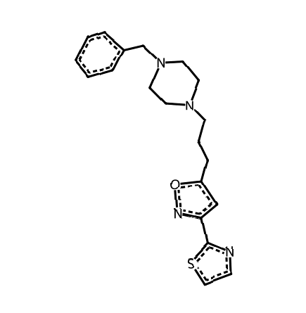 c1ccc(CN2CCN(CCCc3cc(-c4nccs4)no3)CC2)cc1